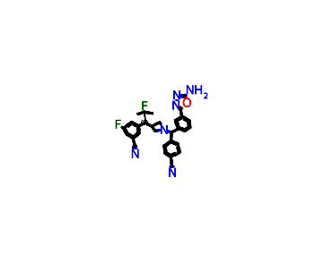 CC(C)(F)[C@H](c1cc(F)cc(C#N)c1)C1CN(C(c2ccc(C#N)cc2)c2cccc(-c3nnc(N)o3)c2)C1